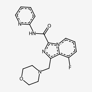 O=C(Nc1ccccn1)c1nc(CN2CCOCC2)c2c(F)cccn12